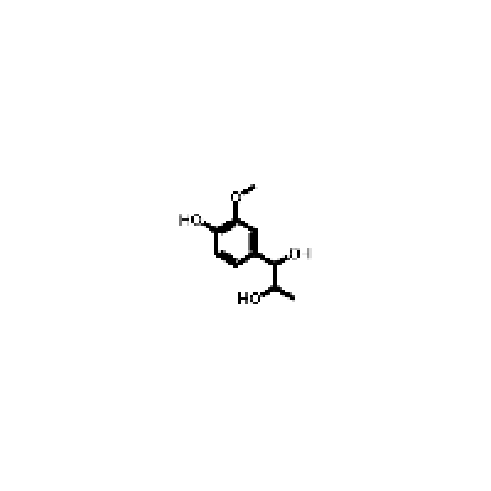 COc1cc(C(O)C(C)O)ccc1O